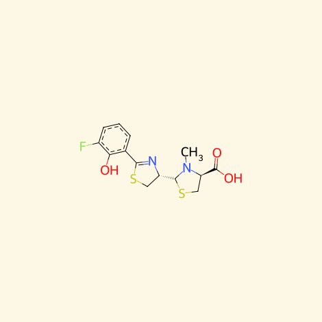 CN1C([C@@H]2CSC(c3cccc(F)c3O)=N2)SC[C@@H]1C(=O)O